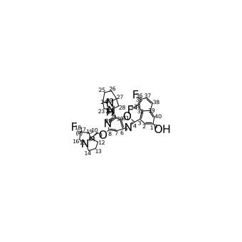 Oc1cc(-c2nc3cc(OC[C@@]45CCCN4C[C@H](F)C5)nc(N4CC5CCC(C4)N5)c3o2)c2c(F)c(F)ccc2c1